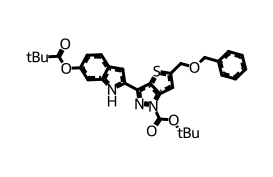 CC(C)(C)OC(=O)n1nc(-c2cc3ccc(OC(=O)C(C)(C)C)cc3[nH]2)c2sc(COCc3ccccc3)cc21